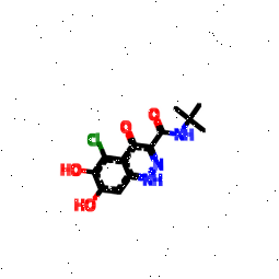 CC(C)(C)NC(=O)c1n[nH]c2cc(O)c(O)c(Cl)c2c1=O